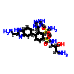 NCc1nc2cc(-c3ccc(S(=O)(=O)NCC(O)CN)c(S(N)(=O)=O)c3-c3nn[nH]n3)ccc2[nH]1